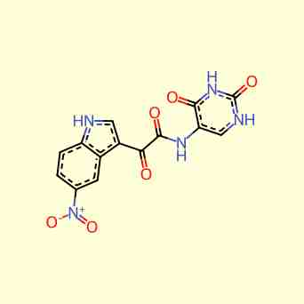 O=C(Nc1c[nH]c(=O)[nH]c1=O)C(=O)c1c[nH]c2ccc([N+](=O)[O-])cc12